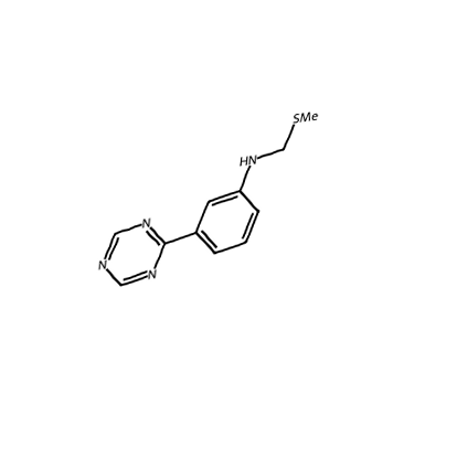 CSCNc1cccc(-c2ncncn2)c1